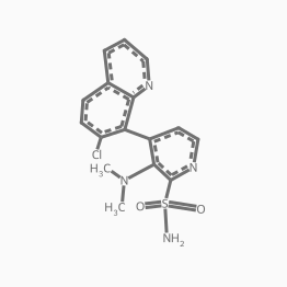 CN(C)c1c(-c2c(Cl)ccc3cccnc23)ccnc1S(N)(=O)=O